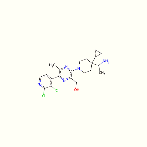 Cc1nc(N2CCC(C(C)N)(C3CC3)CC2)c(CO)nc1-c1ccnc(Cl)c1Cl